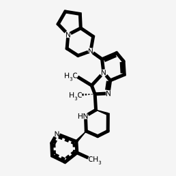 Cc1cccnc1[C@@H]1CCC[C@H]([C@]2(C)N=C3C=CC=C(N4CCN5CCCC5C4)N3C2C)N1